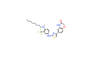 CCCCCCCCN(C)c1ccc(Nc2nc(-c3ccc4c(c3)NC(=O)CO4)cs2)cc1C(F)(F)F